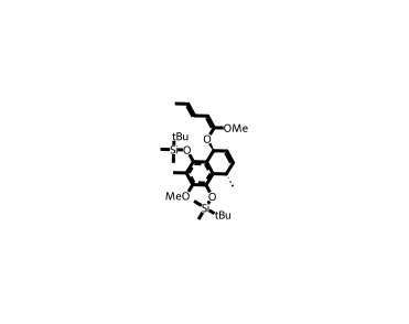 C/C=C/C=C(/OC)O[C@H]1C=C[C@H](C)c2c(O[Si](C)(C)C(C)(C)C)c(OC)c(C)c(O[Si](C)(C)C(C)(C)C)c21